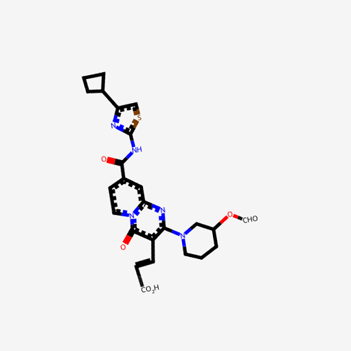 O=COC1CCCN(c2nc3cc(C(=O)Nc4nc(C5CCC5)cs4)ccn3c(=O)c2C=CC(=O)O)C1